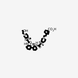 CC(O)CN1CCc2c(nc(C(=O)Nc3cccc(-c4cccc(NC(=O)c5nc6c(n5C)CCN(CCC57CCC(C(=O)O)(CC5)C7)C6)c4Cl)c3C#N)n2C)C1